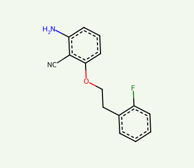 N#Cc1c(N)cccc1OCCc1ccccc1F